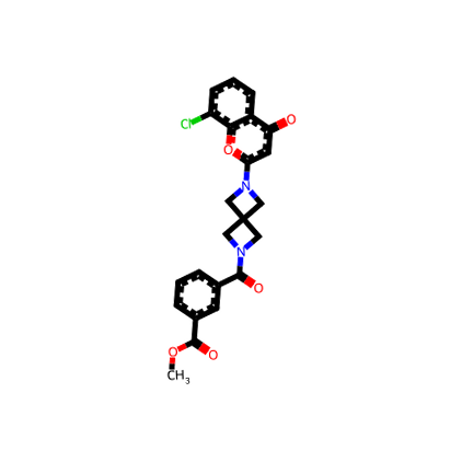 COC(=O)c1cccc(C(=O)N2CC3(C2)CN(c2cc(=O)c4cccc(Cl)c4o2)C3)c1